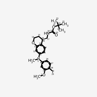 COc1cc(N(C)c2ccc3c(c2)OCC[C@H]3CNC(=O)OC(C)(C)C)ccc1F